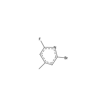 Cc1cc(F)nc(Br)c1